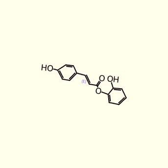 O=C(/C=C/c1ccc(O)cc1)Oc1ccccc1O